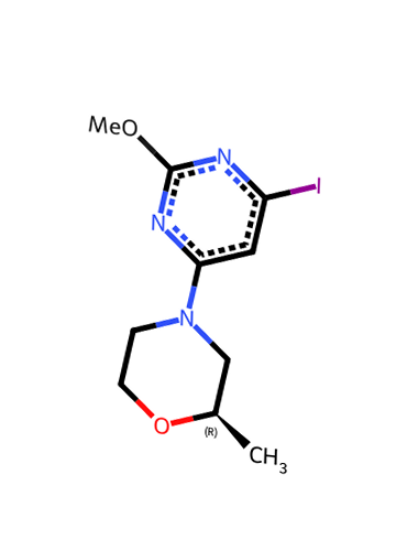 COc1nc(I)cc(N2CCO[C@H](C)C2)n1